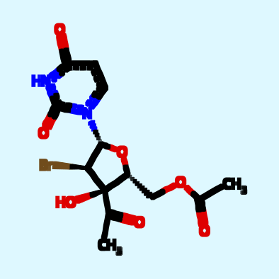 CC(=O)OC[C@H]1O[C@@H](n2ccc(=O)[nH]c2=O)[C@H](Br)[C@@]1(O)C(C)=O